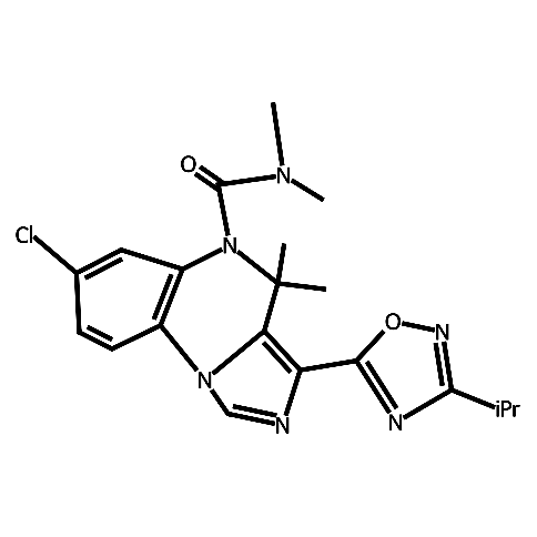 CC(C)c1noc(-c2ncn3c2C(C)(C)N(C(=O)N(C)C)c2cc(Cl)ccc2-3)n1